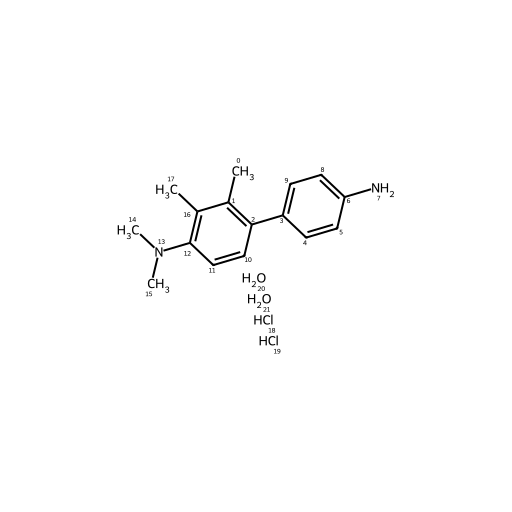 Cc1c(-c2ccc(N)cc2)ccc(N(C)C)c1C.Cl.Cl.O.O